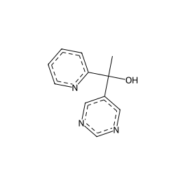 CC(O)(c1cncnc1)c1ccccn1